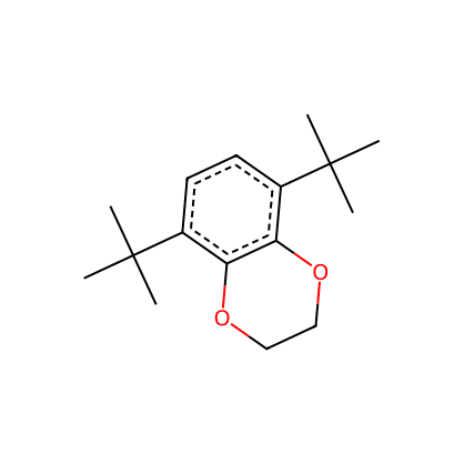 CC(C)(C)c1ccc(C(C)(C)C)c2c1OCCO2